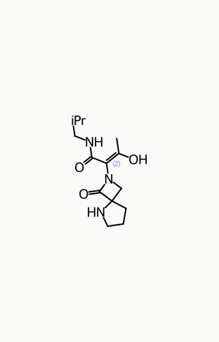 C/C(O)=C(\C(=O)NCC(C)C)N1CC2(CCCN2)C1=O